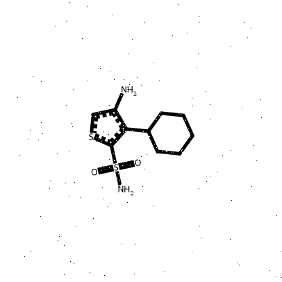 Nc1csc(S(N)(=O)=O)c1C1CCCCC1